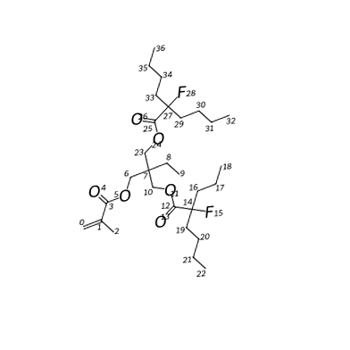 C=C(C)C(=O)OCC(CC)(COC(=O)C(F)(CCC)CCCC)COC(=O)C(F)(CCCC)CCCC